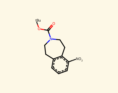 CC(C)(C)OC(=O)N1CCc2cccc([N+](=O)[O-])c2CC1